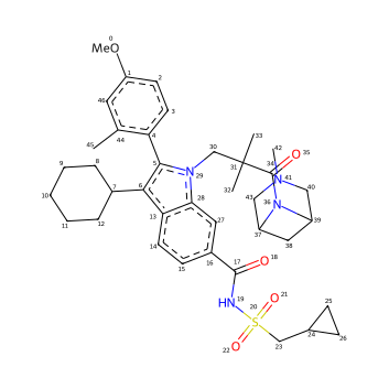 COc1ccc(-c2c(C3CCCCC3)c3ccc(C(=O)NS(=O)(=O)CC4CC4)cc3n2CC(C)(C)C(=O)N2C3CC2CN(C)C3)c(C)c1